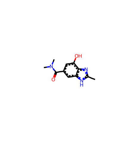 Cc1nc2c(O)cc(C(=O)N(C)C)cc2[nH]1